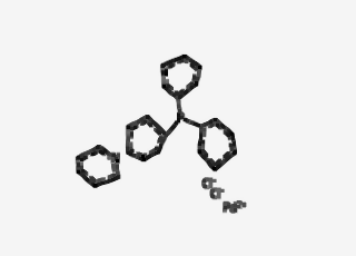 [Cl-].[Cl-].[Pd+2].c1ccc(P(c2ccccc2)c2ccccc2)cc1.c1ccncc1